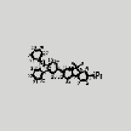 CC(C)c1ccc2c(c1)C(C)(C)c1cc(-c3ccc4c(c3)c3ccccc3n4-c3ccccc3)ccc1-2